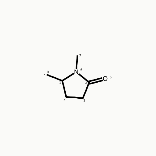 [CH2]C1CCC(=O)N1C